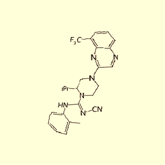 Cc1ccccc1N/C(=N/C#N)N1CCN(c2cnc3cccc(C(F)(F)F)c3n2)CC1C(C)C